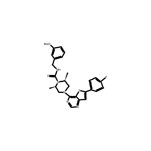 COc1cccc(CNC(=O)N2[C@H](C)CN(c3ncnc4cc(-c5ccc(F)cc5)sc34)C[C@@H]2C)c1